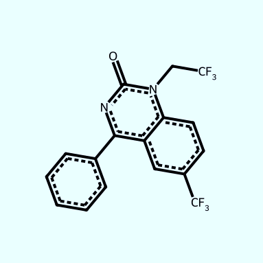 O=c1nc(-c2ccccc2)c2cc(C(F)(F)F)ccc2n1CC(F)(F)F